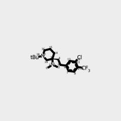 CN(C)[C@@]1(CCc2ccc(C(F)(F)F)c(Cl)c2)CCCN(C(C)(C)C)C1